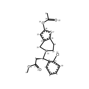 COC(=O)C[C@H](c1ccccc1Cl)N1CCc2sc(OC(C)=O)cc2C1